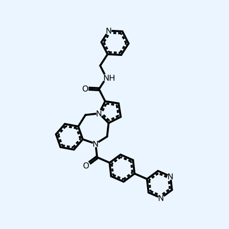 O=C(NCc1cccnc1)c1ccc2n1Cc1ccccc1N(C(=O)c1ccc(-c3cncnc3)cc1)C2